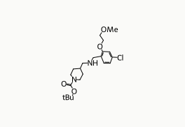 COCCOc1cc(Cl)ccc1CNCC1CCN(C(=O)OC(C)(C)C)CC1